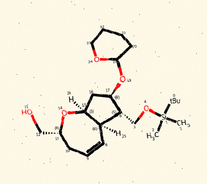 CC(C)(C)[Si](C)(C)OC[C@@H]1[C@H]2C=CC[C@H](CO)O[C@H]2C[C@H]1OC1CCCCO1